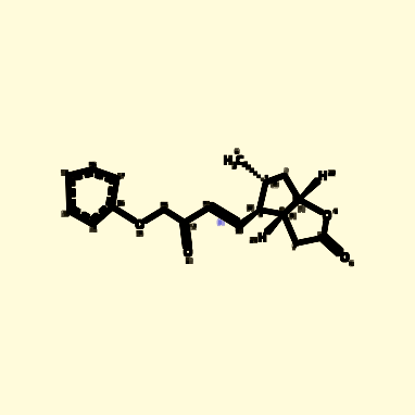 C[C@@H]1C[C@@H]2OC(=O)C[C@@H]2[C@H]1/C=C/C(=O)COc1ccccc1